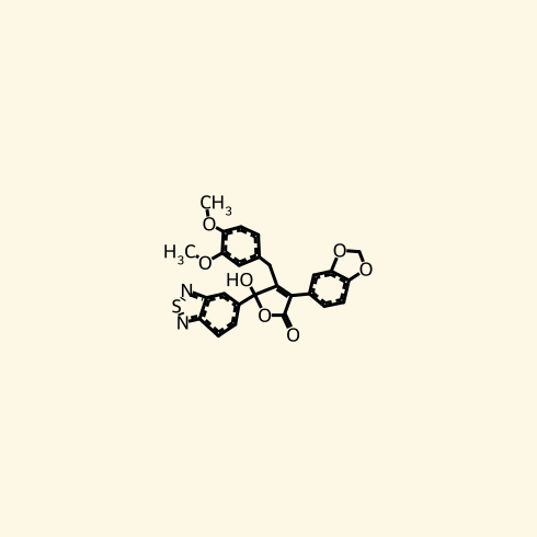 COc1ccc(CC2=C(c3ccc4c(c3)OCO4)C(=O)OC2(O)c2ccc3nsnc3c2)cc1OC